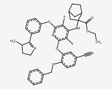 CCOC(=O)C1(Nc2c(F)c(Oc3cccc(C4=NCCN4C)c3)nc(Oc3cc(C#N)ccc3OCc3ccccc3)c2F)CC2CCC1C2